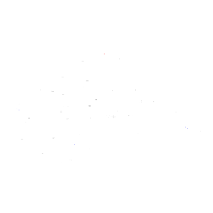 CCN(CC)Cc1ccc(OC)c(-c2ccc(O)c3c2C[C@H]2C[C@H]4C(N(C)C)C(O)=C(C(N)=O)C(=O)[C@@]4(O)C(O)=C2C3=O)c1